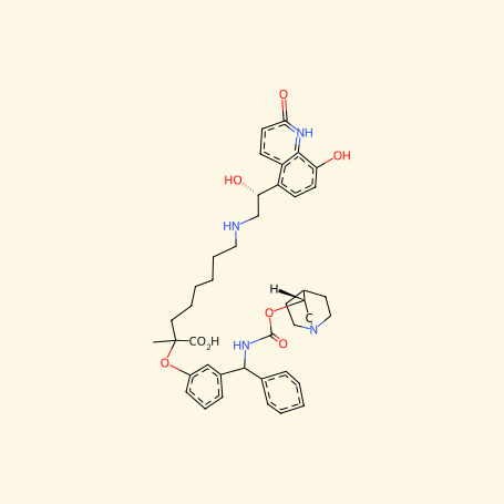 CC(CCCCCCNC[C@H](O)c1ccc(O)c2[nH]c(=O)ccc12)(Oc1cccc(C(NC(=O)O[C@H]2CN3CCC2CC3)c2ccccc2)c1)C(=O)O